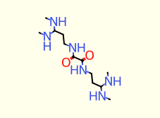 CNC(CCNC(=O)C(=O)NCCC(NC)NC)NC